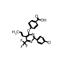 CC=Cc1c(Oc2ccc(C(=O)O)cc2)nc(-c2ccc(Cl)cc2)nc1C(F)(F)F